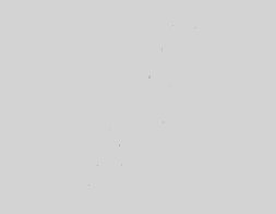 O=CC=Cc1ccc(OCc2ccccc2)cc1